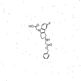 O=C(O)Cn1c2c(c3cc(F)ccc31)C[C@@H](NCC(=O)OCc1ccccc1)CC2